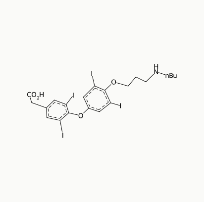 CCCCNCCCOc1c(I)cc(Oc2c(I)cc(CC(=O)O)cc2I)cc1I